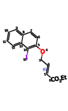 CCOC(=O)/C=C/COc1ccc2ccccc2c1I